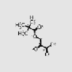 CC(C)(C)C(=O)OCC(=O)C(=O)F